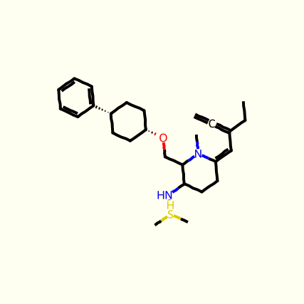 C=C=C(/C=C1/CCC(N[SH](C)C)C(CO[C@H]2CC[C@@H](c3ccccc3)CC2)N1C)CC